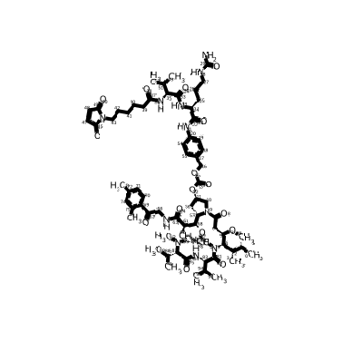 CC[C@H](C)[C@@H]([C@@H](CC(=O)N1C[C@@H](OC(=O)OCc2ccc(NC(=O)[C@H](CCCNC(N)=O)NC(=O)[C@@H](NC(=O)CCCCCN3C(=O)C=CC3=O)C(C)C)cc2)C[C@H]1[C@H](OC)[C@@H](C)C(=O)NCC(=O)c1ccc(C)cc1C)OC)N(C)C(=O)[C@@H](NC(=O)[C@H](C(C)C)N(C)C)C(C)C